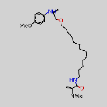 C=C(COCCCCCCC/C=C\CCCCNC(=O)C(=C)NC)Nc1ccc(OC)cc1